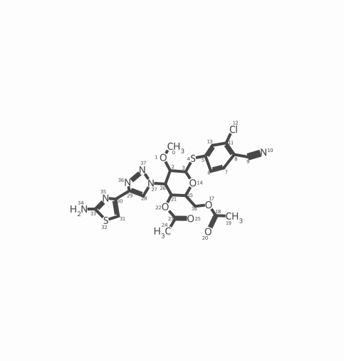 COC1C(Sc2ccc(C#N)c(Cl)c2)OC(COC(C)=O)C(OC(C)=O)C1n1cc(-c2csc(N)n2)nn1